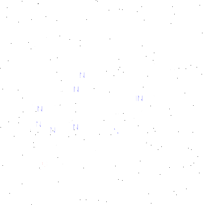 c1nnc(-c2cn(C3(c4ccc(N5CCC[C@@H](NCC6CC6)C5)cn4)COC3)nn2)cc1C1CC1